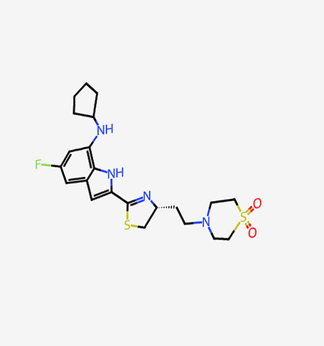 O=S1(=O)CCN(CC[C@@H]2CSC(c3cc4cc(F)cc(NC5CCCC5)c4[nH]3)=N2)CC1